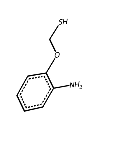 Nc1ccccc1OCS